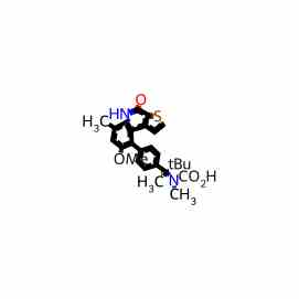 COc1cc(C)c2[nH]c(=O)c3sccc3c2c1-c1ccc([C@](C)(N(C)C(=O)O)C(C)(C)C)cc1